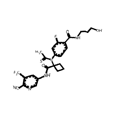 CC(=S)N(c1ccc(C(=O)NCCCO)c(F)c1)C1(C(=O)Nc2cnc(C#N)c(C(F)(F)F)c2)CCC1